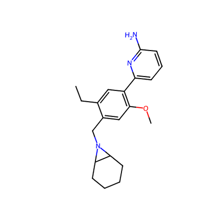 CCc1cc(-c2cccc(N)n2)c(OC)cc1CN1C2CCCCC21